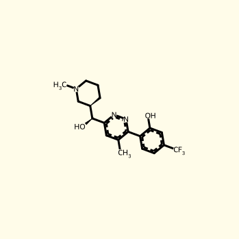 Cc1cc([C@@H](O)[C@@H]2CCCN(C)C2)nnc1-c1ccc(C(F)(F)F)cc1O